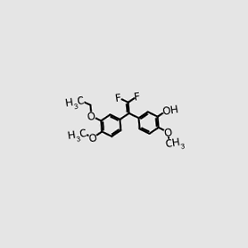 CCOc1cc(C(=C(F)F)c2ccc(OC)c(O)c2)ccc1OC